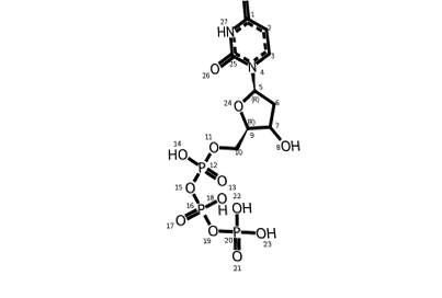 O=c1ccn([C@H]2CC(O)[C@@H](COP(=O)(O)OP(=O)(O)OP(=O)(O)O)O2)c(=O)[nH]1